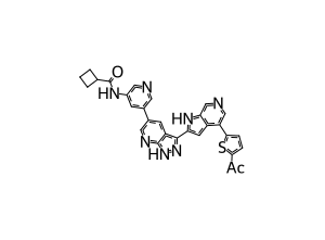 CC(=O)c1ccc(-c2cncc3[nH]c(-c4n[nH]c5ncc(-c6cncc(NC(=O)C7CCC7)c6)cc45)cc23)s1